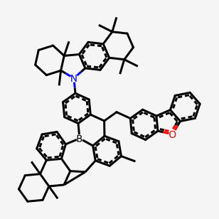 Cc1cc2c3c(c1)C1C4c5c(cccc5C5(C)CCCCC5(C)C14)B3c1ccc(N3c4cc5c(cc4C4(C)CCCCC34C)C(C)(C)CCC5(C)C)cc1C2Cc1ccc2oc3ccccc3c2c1